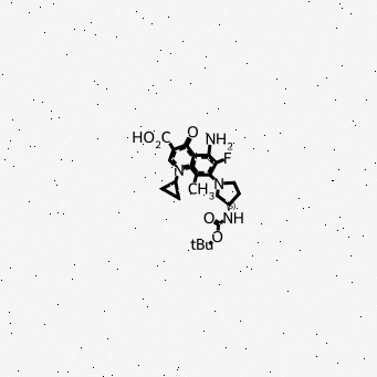 Cc1c(N2CC[C@H](NC(=O)OC(C)(C)C)C2)c(F)c(N)c2c(=O)c(C(=O)O)cn(C3CC3)c12